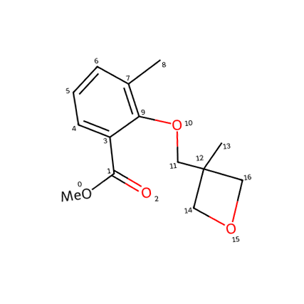 COC(=O)c1cccc(C)c1OCC1(C)COC1